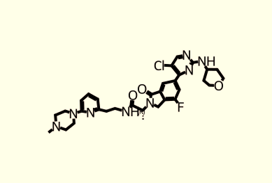 C[C@H](C(=O)NCCc1cccc(N2CCN(C)CC2)n1)N1Cc2c(F)cc(-c3nc(NC4CCOCC4)ncc3Cl)cc2C1=O